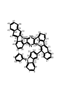 c1ccc(-n2c3ccccc3c3cc(-c4c5ccccc5cc5c6cccc7c8nc9c(nc8n(c45)c67)c4cccc5c6cc7ccccc7cc6n9c54)ccc32)cc1